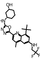 Cc1cc(-c2nnc(N[C@@H]3CCC[C@H](O)C3)o2)nc2c(C(C)(C)C)cc(NCC(F)(F)F)cc12